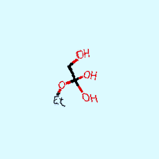 CCOC(O)(O)CO